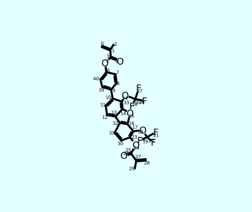 C=C(C)C(=O)Oc1ccc(-c2ccc3c(oc4c(OC(F)(F)F)c(OC(=O)C(=C)C)ccc43)c2OC(F)(F)F)cc1